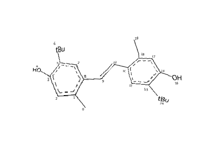 Cc1cc(O)c(C(C)(C)C)cc1C=Cc1cc(C(C)(C)C)c(O)cc1C